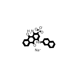 Nc1c(S(=O)(=O)[O-])cc(Nc2ccc3ccccc3c2)c2c1C(=O)c1ccccc1C2=O.[Na+]